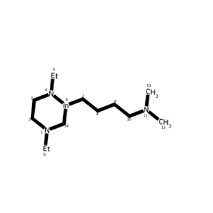 CCN1CC[N](CC)[In]([CH2]CCCN(C)C)[CH2]1